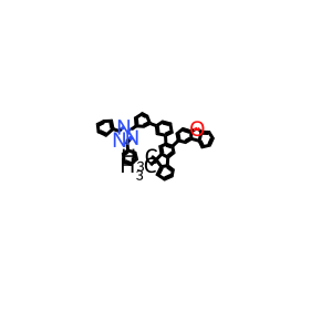 CC1(C)c2ccccc2-c2cc(-c3ccc4oc5ccccc5c4c3)c(-c3cccc(-c4cccc(-c5nc(-c6ccccc6)nc(-c6ccccc6)n5)c4)c3)cc21